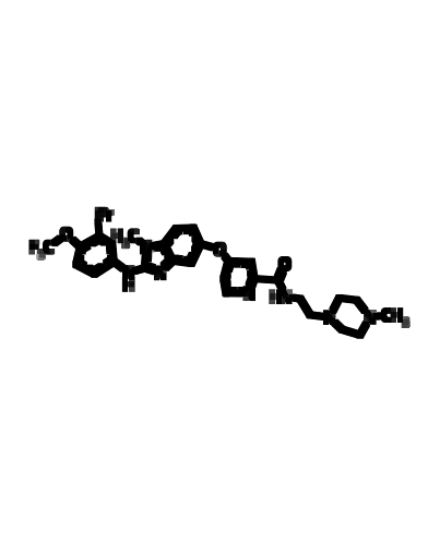 CC(C)c1cc(Nc2nc3cc(Oc4ccnc(C(=O)NCCN5CCN(C)CC5)c4)ccc3n2C)ccc1OC(F)(F)F